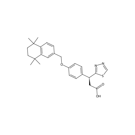 CC1(C)CCC(C)(C)c2cc(COc3ccc([C@H](CC(=O)O)c4nncs4)cc3)ccc21